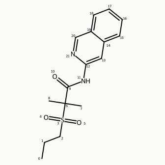 CCCS(=O)(=O)C(C)(C)C(=O)Nc1cc2ccccc2cn1